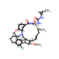 CO[C@H]1/C=C/C[C@H](C)C[S@@](=O)(NC(=O)N[C@@H]2C[C@H]2C)=NC(=O)c2ccc3c(c2)N(C[C@@H]2CC[C@H]21)C[C@@]1(CCCc2cc(Cl)ccc21)CO3